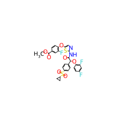 COC(=O)c1ccc(Oc2cnc(NC(=O)C(Oc3ccc(F)cc3F)c3ccc(S(=O)(=O)C4CC4)cc3)s2)c(F)c1